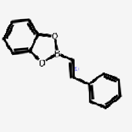 C(=C\c1ccccc1)/B1Oc2ccccc2O1